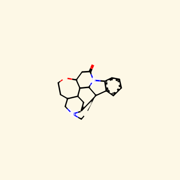 O=C1CC2OCCC3CN4CC[C@]56c7ccccc7N1C5C2C3CC46